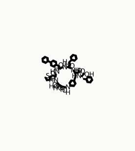 O=C(O)[C@H](Cc1ccccc1)NC(=O)[C@H]1Cc2ccc(cc2)NC(=O)[C@H](O)[C@@H](O)C(=O)N[C@H](Cc2cccs2)C(=O)N[C@@H](Cc2ccc(-c3ccccc3)cc2)C(=O)N[C@H](CCc2ccccc2)C(=O)N1